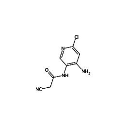 N#CCC(=O)Nc1cnc(Cl)cc1N